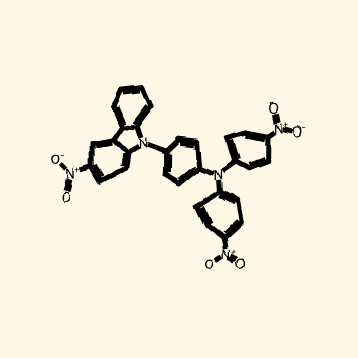 O=[N+]([O-])c1ccc(N(c2ccc(-n3c4ccccc4c4cc([N+](=O)[O-])ccc43)cc2)c2ccc([N+](=O)[O-])cc2)cc1